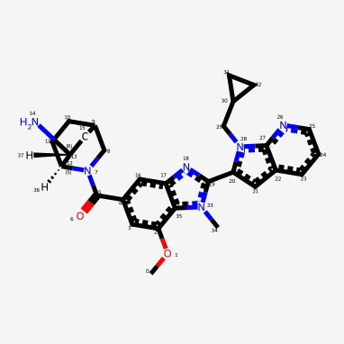 COc1cc(C(=O)N2CC3CC[C@H]2[C@H](N)C3)cc2nc(-c3cc4cccnc4n3CC3CC3)n(C)c12